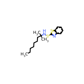 CCCCCCCC(C)(C)NSc1nc2ccccc2s1